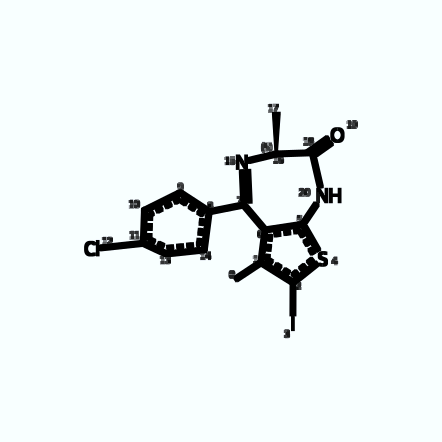 Cc1c(I)sc2c1C(c1ccc(Cl)cc1)=N[C@@H](C)C(=O)N2